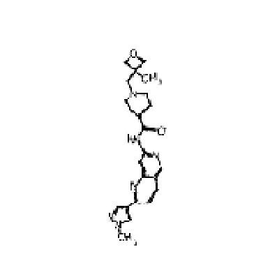 Cn1cc(-c2ccc3cnc(NC(=O)C4CCN(CC5(C)COC5)CC4)cc3n2)cn1